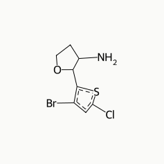 NC1CCOC1c1sc(Cl)cc1Br